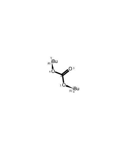 C[CH][C@H](C)OC(=O)O[C@H](C)CC